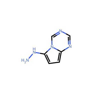 NNc1ccc2ncncn12